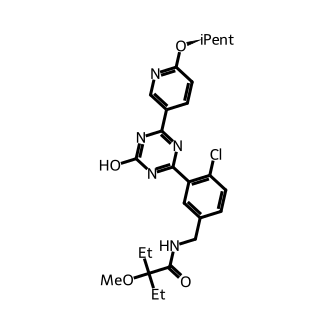 CCC[C@H](C)Oc1ccc(-c2nc(O)nc(-c3cc(CNC(=O)C(CC)(CC)OC)ccc3Cl)n2)cn1